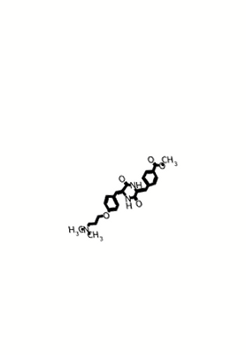 COC(=O)c1ccc(/C=c2\[nH]c(=O)/c(=C/c3ccc(OCCCN(C)C)cc3)[nH]c2=O)cc1